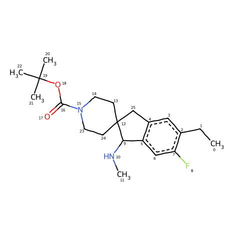 CCc1cc2c(cc1F)C(NC)C1(CCN(C(=O)OC(C)(C)C)CC1)C2